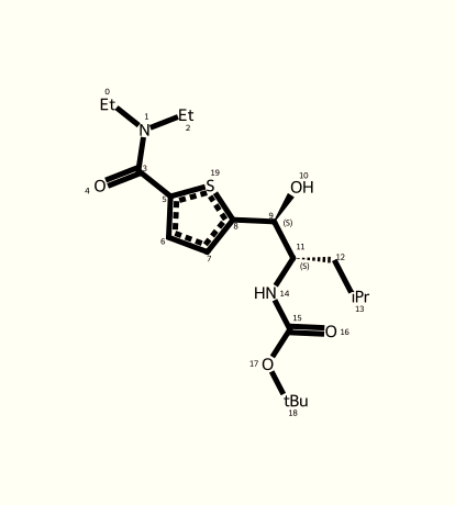 CCN(CC)C(=O)c1ccc([C@@H](O)[C@H](CC(C)C)NC(=O)OC(C)(C)C)s1